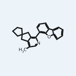 Cc1cnc(-c2cccc3c2oc2ccccc23)c2c1CC1(CCCC1)C2